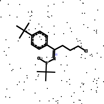 CC(C)(C)c1ccc(/C(CCCCl)=N\[S+]([O-])C(C)(C)C)cc1